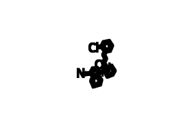 N#Cc1ccc(N2CCCCN2C(=O)CCc2ccccc2Cl)c2ccccc12